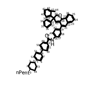 CCCCC[C@H]1CC[C@H](c2ccc(-c3ccc(C(=O)Nc4ccc(C5=Cc6ccccc6C6OCC(c7ccccc7)(c7ccccc7C)C=C56)cc4)cc3)cc2)CC1